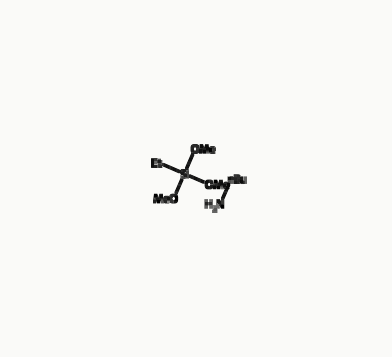 CCCCN.CC[Si](OC)(OC)OC